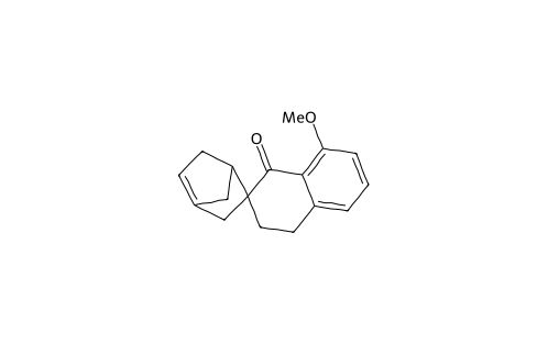 COc1cccc2c1C(=O)C1(CC2)CC2=CCC1C2